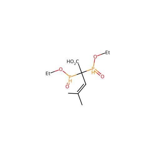 CCO[PH](=O)C(C=C(C)C)(C(=O)O)[PH](=O)OCC